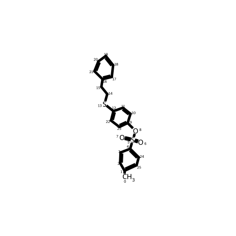 Cc1ccc(S(=O)(=O)Oc2ccc(SCCc3ccccc3)cc2)cc1